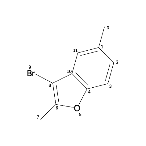 Cc1ccc2oc(C)c(Br)c2c1